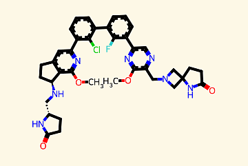 COc1nc(-c2cccc(-c3cccc(-c4cc5c(c(OC)n4)[C@@H](NC[C@@H]4CCC(=O)N4)CC5)c3Cl)c2F)cnc1CN1CC2(CCC(=O)N2)C1